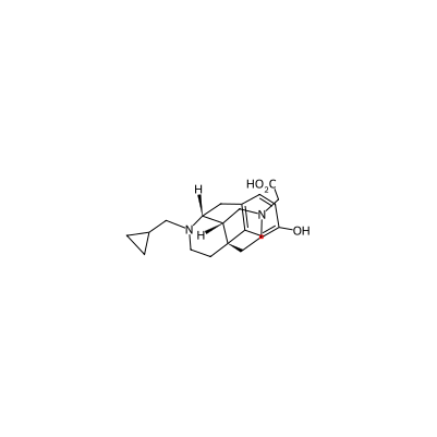 O=C(O)CN1CC[C@]23CCN(CC4CC4)[C@H](Cc4ccc(O)cc42)[C@@H]3C1